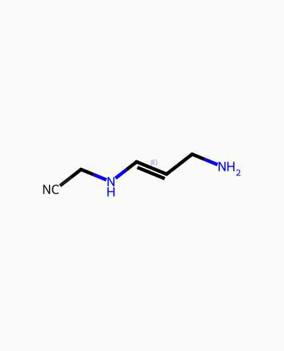 N#CCN/C=C/CN